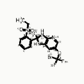 CCS(=O)(=O)c1ccccc1C1(C)Nc2cc(OC(F)(F)Br)cnc2N1